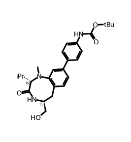 CC(C)[C@H]1C(=O)N[C@H](CO)Cc2ccc(-c3ccc(NC(=O)OC(C)(C)C)cc3)cc2N1C